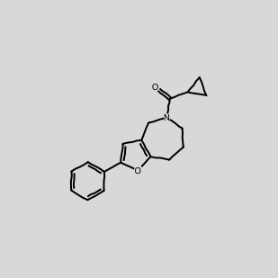 O=C(C1CC1)N1CCCc2oc(-c3ccccc3)cc2C1